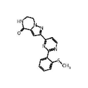 CSc1ccccc1-c1nccc(-c2cc3n(n2)CCNC3=O)n1